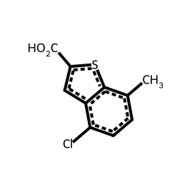 Cc1ccc(Cl)c2cc(C(=O)O)sc12